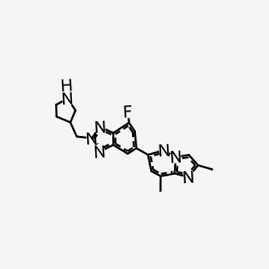 Cc1cn2nc(-c3cc(F)c4nn(CC5CCNC5)nc4c3)cc(C)c2n1